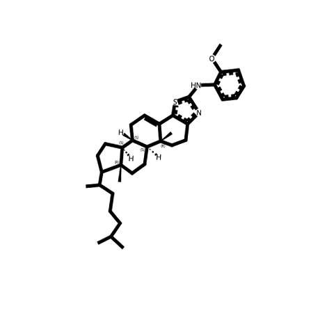 COc1ccccc1Nc1nc2c(s1)C1=CC[C@@H]3[C@H](CC[C@]4(C)C(C(C)CCCC(C)C)CC[C@@H]34)[C@@]1(C)CC2